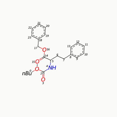 CCCCOC(=O)NC(CCc1ccccc1)C(=O)OCc1ccccc1